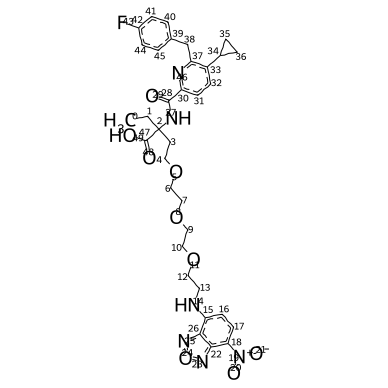 CCC(CCOCCOCCOCCNc1ccc([N+](=O)[O-])c2nonc12)(NC(=O)c1ccc(C2CC2)c(Cc2ccc(F)cc2)n1)C(=O)O